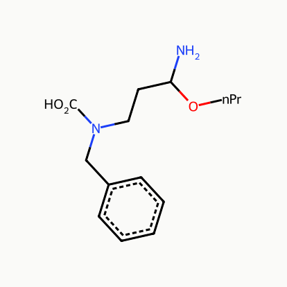 CCCOC(N)CCN(Cc1ccccc1)C(=O)O